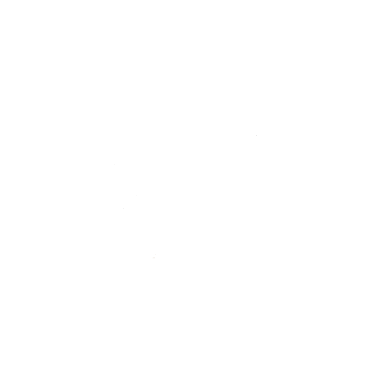 CCCCCCCCc1cc(C)c2ccccc2c1-c1c(CCCCCCCC)cc(Br)c2ccccc12